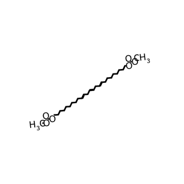 COC(=O)OCCCCCCCCC=CCC=CCC=CCCCCCCCCCOC(=O)OC